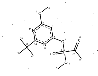 COc1cc(OP(=O)(OC)C(C)=S)nc(C(C)(C)C)n1